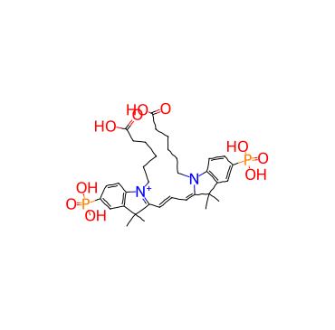 CC1(C)C(/C=C/C=C2\N(CCCCCC(=O)O)c3ccc(P(=O)(O)O)cc3C2(C)C)=[N+](CCCCCC(=O)O)c2ccc(P(=O)(O)O)cc21